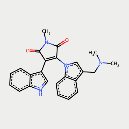 CN(C)Cc1cn(C2=C(c3c[nH]c4ccccc34)C(=O)N(C)C2=O)c2ccccc12